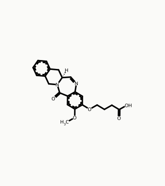 COc1cc2c(cc1OCCCC(=O)O)N=C[C@@H]1Cc3ccccc3CN1C2=O